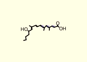 CCCCC(O)C=C(C)C=C/C=C(C)/C=C(C)/C=C/C(=O)O